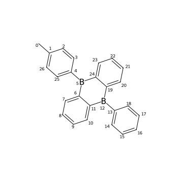 Cc1ccc(B2c3ccccc3B(c3ccccc3)c3ccccc32)cc1